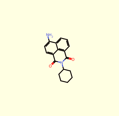 Nc1ccc2c3c(cccc13)C(=O)N(C1CCCCC1)C2=O